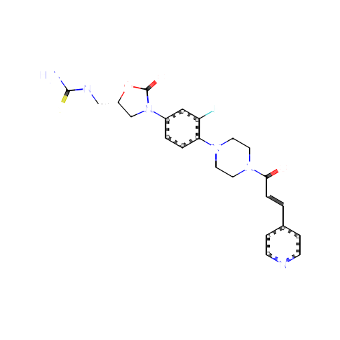 NC(=S)NC[C@H]1CN(c2ccc(N3CCN(C(=O)C=Cc4ccncc4)CC3)c(F)c2)C(=O)O1